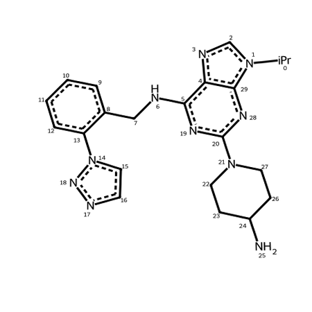 CC(C)n1cnc2c(NCc3ccccc3-n3ccnn3)nc(N3CCC(N)CC3)nc21